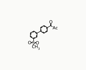 CC(=O)C(=O)c1ccc(-c2cccc(S(C)(=O)=O)c2)cc1